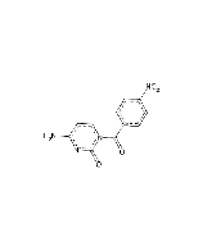 Nc1ccn(C(=O)c2ccc([N+](=O)[O-])cc2)c(=O)n1